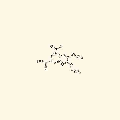 CCOC(=O)/C(=C\c1ncc(C(=O)O)cc1[N+](=O)[O-])OC